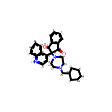 O=C1c2ccccc2C(=O)C1(c1ccnc2ccccc12)N1CCN(CC2CCCCC2)CC1